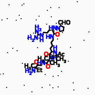 CCC(C)(N)C(=O)CNC(=O)C(C)(C)NC(=O)C(CCCCNC(=O)[C@H](CCCNC(N)N)NN1CCC[C@H]1C=O)NC(C)(CC)C(C)=O